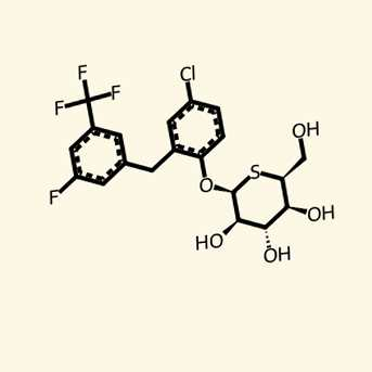 OC[C@@H]1S[C@H](Oc2ccc(Cl)cc2Cc2cc(F)cc(C(F)(F)F)c2)[C@H](O)[C@@H](O)[C@@H]1O